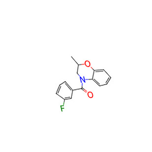 CC1CN(C(=O)c2cccc(F)c2)c2ccccc2O1